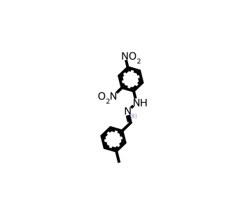 Cc1cccc(/C=N/Nc2ccc([N+](=O)[O-])cc2[N+](=O)[O-])c1